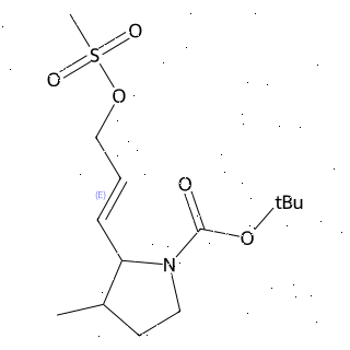 CC1CCN(C(=O)OC(C)(C)C)C1/C=C/COS(C)(=O)=O